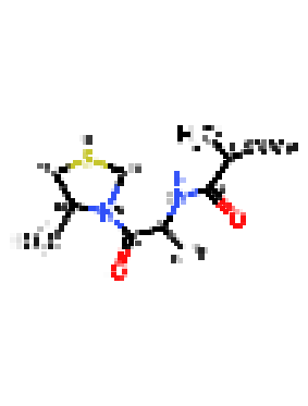 CNC(C)C(=O)NC(C(=O)N1CSCC1C(=O)O)C(C)C